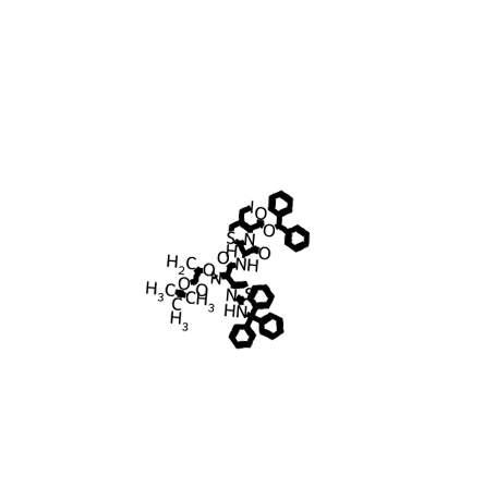 C=C(O/N=C(\C(=O)N[C@@H]1C(=O)N2C(C(=O)OC(c3ccccc3)c3ccccc3)=C(CI)CS[C@H]12)c1csc(NC(c2ccccc2)(c2ccccc2)c2ccccc2)n1)C(=O)OC(C)(C)C